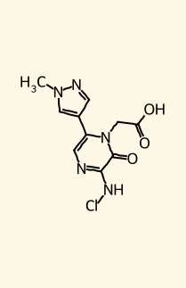 Cn1cc(-c2cnc(NCl)c(=O)n2CC(=O)O)cn1